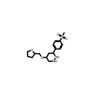 CS(=O)(=O)c1ccc(C2CC(OCC3CCCO3)CNN2)cc1